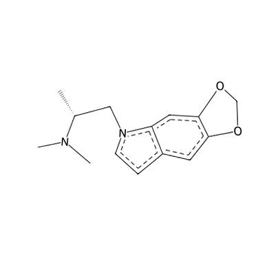 C[C@H](Cn1ccc2cc3c(cc21)OCO3)N(C)C